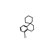 Clc1cccc2c1OCCC21CCCCC1